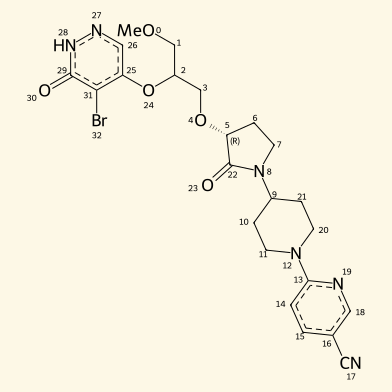 COCC(CO[C@@H]1CCN(C2CCN(c3ccc(C#N)cn3)CC2)C1=O)Oc1cn[nH]c(=O)c1Br